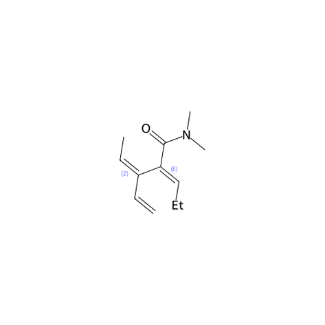 C=CC(=C/C)/C(=C\CC)C(=O)N(C)C